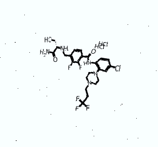 Cl.Cl.NC(=O)[C@H](CO)NCc1ccc(C(=O)Nc2ccc(Cl)cc2N2CCN(CCC(F)(F)F)CC2)c(F)c1F